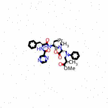 COC(=O)[C@@H](C)CN(C[C@@H]1C(=O)OB([C@H](CC(C)C)NC(=O)[C@H](Cc2ccccc2)NC(=O)c2cnccn2)N1C)c1ccccc1